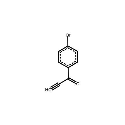 C#CC(=O)c1ccc(Br)cc1